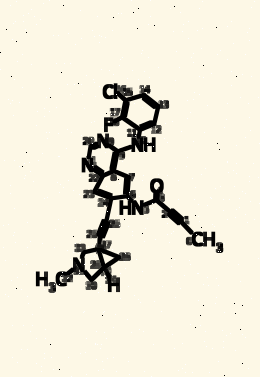 CC#CC(=O)Nc1cc2c(Nc3cccc(Cl)c3F)ncnc2cc1C#C[C@@]12C[C@@H]1CN(C)C2